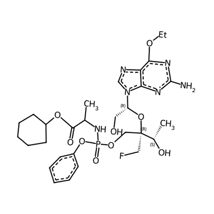 CCOc1nc(N)nc2c1ncn2[C@@H](CO)O[C@](CF)(COP(=O)(NC(C)C(=O)OC1CCCCC1)Oc1ccccc1)[C@H](C)O